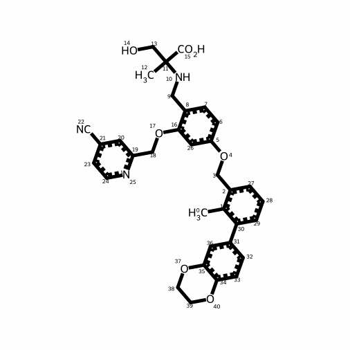 Cc1c(COc2ccc(CNC(C)(CO)C(=O)O)c(OCc3cc(C#N)ccn3)c2)cccc1-c1ccc2c(c1)OCCO2